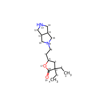 CCC1(CC)CC(CCN2CC3CNCC3C2)OC1=O